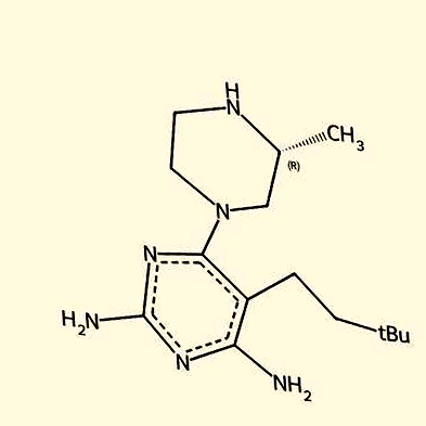 C[C@@H]1CN(c2nc(N)nc(N)c2CCC(C)(C)C)CCN1